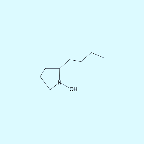 CCCCC1CCCN1O